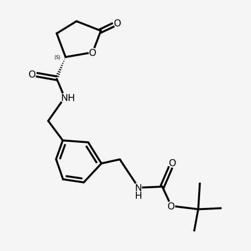 CC(C)(C)OC(=O)NCc1cccc(CNC(=O)[C@@H]2CCC(=O)O2)c1